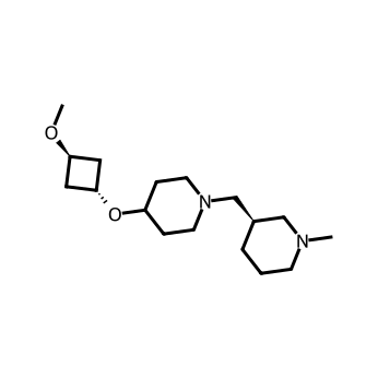 CO[C@H]1C[C@H](OC2CCN(C[C@@H]3CCCN(C)C3)CC2)C1